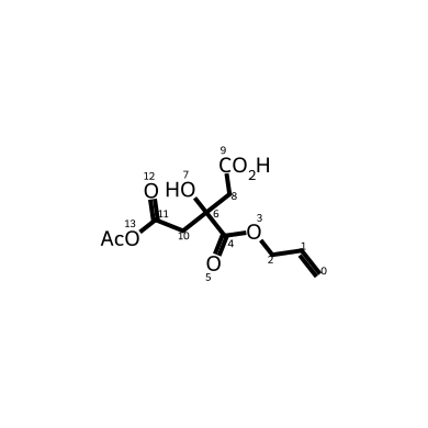 C=CCOC(=O)C(O)(CC(=O)O)CC(=O)OC(C)=O